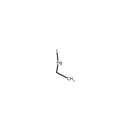 C[CH2][Hg][I]